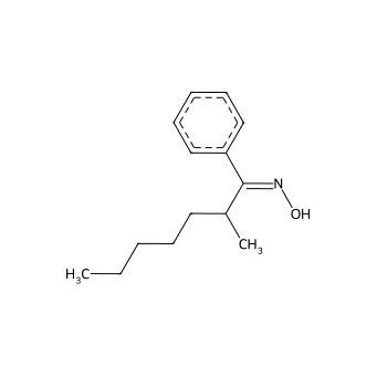 CCCCCC(C)C(=NO)c1ccccc1